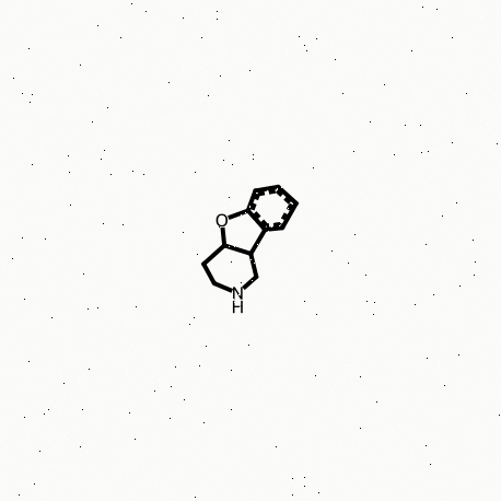 c1ccc2c(c1)OC1CCNCC21